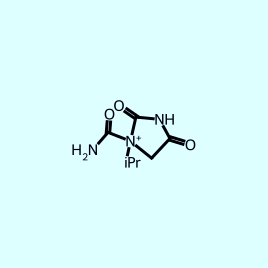 CC(C)[N+]1(C(N)=O)CC(=O)NC1=O